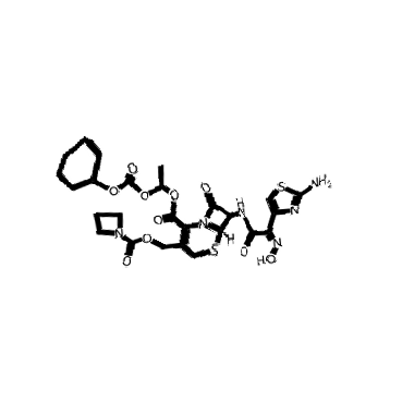 CC(OC(=O)OC1CCCCC1)OC(=O)C1=C(COC(=O)N2CCC2)CS[C@@H]2C(NC(=O)/C(=N\O)c3csc(N)n3)C(=O)N12